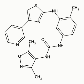 Cc1ccc(NC(=O)Nc2c(C)noc2C)cc1Nc1nc(-c2cccnc2)cs1